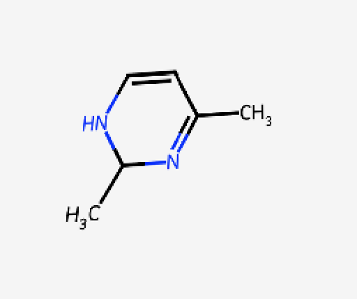 CC1=NC(C)NC=C1